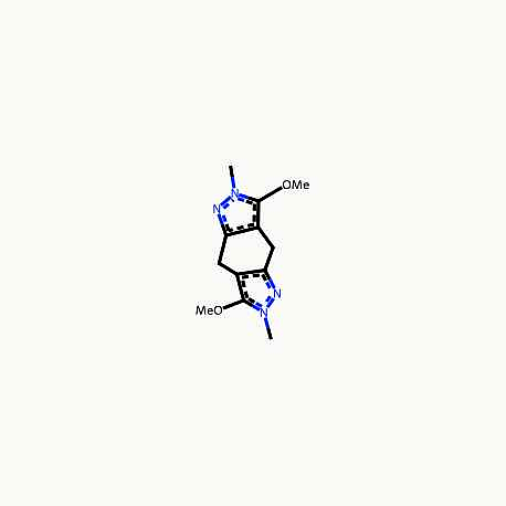 COc1c2c(nn1C)Cc1c(nn(C)c1OC)C2